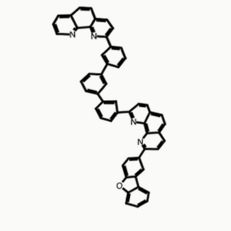 c1cc(-c2cccc(-c3ccc4ccc5cccnc5c4n3)c2)cc(-c2cccc(-c3ccc4ccc5ccc(-c6ccc7oc8ccccc8c7c6)nc5c4n3)c2)c1